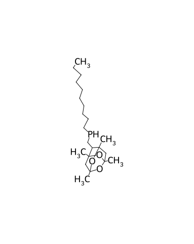 CCCCCCCCCCPCC1C2(C)CC3(C)OC(C)(CC1(C)O3)O2